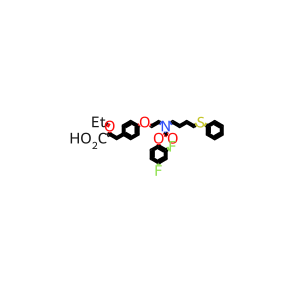 CCOC(Cc1ccc(OCCN(CCCCSc2ccccc2)C(=O)Oc2ccc(F)cc2F)cc1)C(=O)O